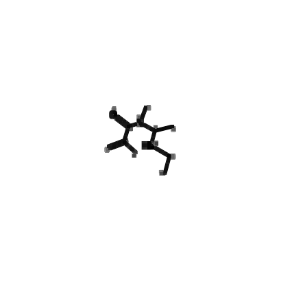 C=C(C)C(=O)N(C)C(C)NCC